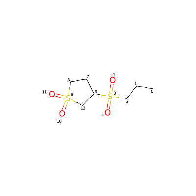 CCCS(=O)(=O)C1CCS(=O)(=O)C1